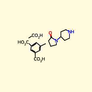 CC(=O)O.Cc1cc(C(=O)O)cc(C(=O)O)c1.O=C1CCCN1C1CCNCC1